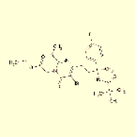 CCOC(=O)Cn1c(SC)nc(CC[C@](C)(N[S@+]([O-])C(C)(C)C)c2ccc(F)cc2)c(Br)c1=O